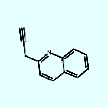 [C]#CCc1ccc2ccccc2n1